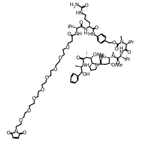 CC[C@H](C)[C@@H]([C@@H](CC(=O)N1CCC[C@H]1[C@H](OC)[C@@H](C)C(=O)N[C@H](C)[C@@H](O)c1ccccc1)OC)N(C)C(=O)[C@@H](NC(=O)[C@H](C(C)C)N(C)C(=O)OCc1ccc(NC(=O)[C@H](CCCNC(N)=O)NC(=O)[C@@H](NC(=O)CCOCCOCCOCCOCCOCCOCCOCCOCCN2C(=O)C=CC2=O)C(C)C)cc1)C(C)C